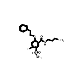 CCCCNC(=O)c1cc(S(N)(=O)=O)c(Cl)cc1SCCc1ccccc1